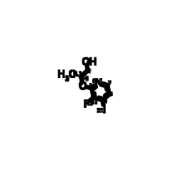 C[C@H](CO)Oc1nccc(I)c1F